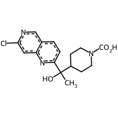 CC(O)(c1ccc2cnc(Cl)cc2n1)C1CCN(C(=O)O)CC1